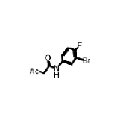 CC(=O)CC(=O)Nc1ccc(F)c(Br)c1